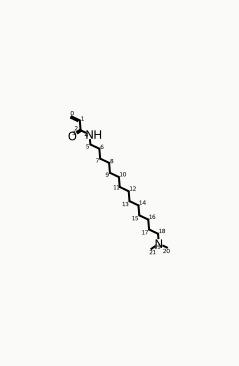 C=CC(=O)NCCCCCCCCCCCCCCN(C)C